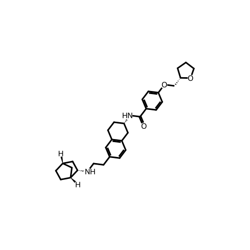 O=C(N[C@H]1CCc2cc(CCN[C@H]3C[C@H]4CC[C@@H]3C4)ccc2C1)c1ccc(OC[C@@H]2CCCO2)cc1